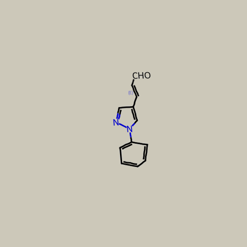 O=C/C=C/c1cnn(-c2ccccc2)c1